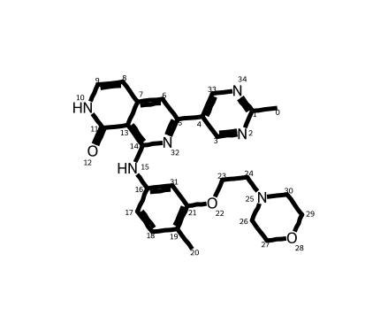 Cc1ncc(-c2cc3cc[nH]c(=O)c3c(Nc3ccc(C)c(OCCN4CCOCC4)c3)n2)cn1